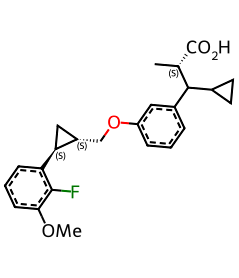 COc1cccc([C@H]2C[C@@H]2COc2cccc(C(C3CC3)[C@H](C)C(=O)O)c2)c1F